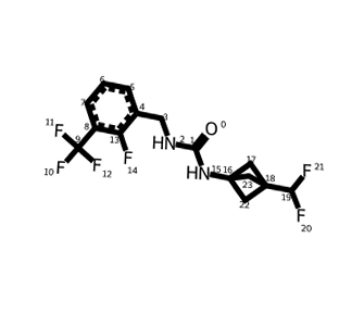 O=C(NCc1cccc(C(F)(F)F)c1F)NC12CC(C(F)F)(C1)C2